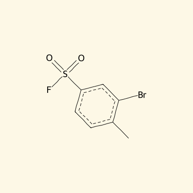 Cc1ccc(S(=O)(=O)F)cc1Br